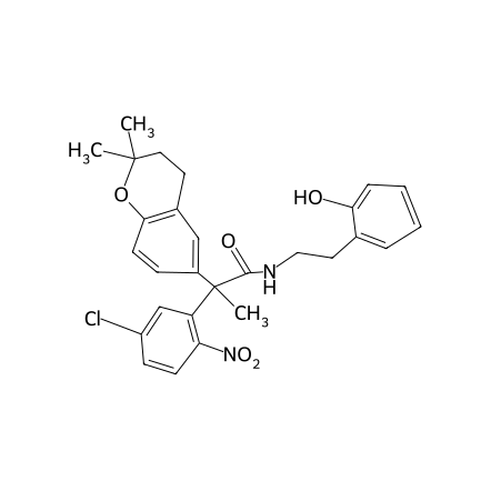 CC1(C)CCc2cc(C(C)(C(=O)NCCc3ccccc3O)c3cc(Cl)ccc3[N+](=O)[O-])ccc2O1